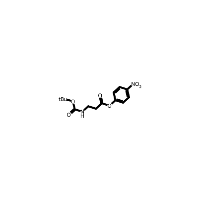 CC(C)(C)OC(=O)NCCC(=O)Oc1ccc([N+](=O)[O-])cc1